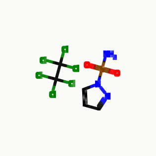 ClC(Cl)(Cl)C(Cl)(Cl)Cl.NS(=O)(=O)n1cccn1